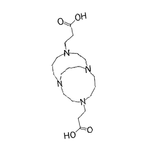 O=C(O)CCN1CCCN2CCCN(CCCN(CCC(=O)O)CC2)CC1